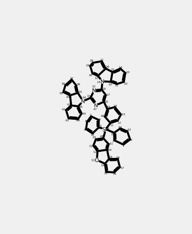 c1ccc([Si](c2ccccc2)(c2cccc(-c3cc(-n4c5ccccc5c5ccccc54)nc(-n4c5ccccc5c5ccccc54)n3)c2)c2ccc3oc4ccccc4c3c2)cc1